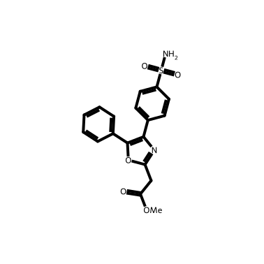 COC(=O)Cc1nc(-c2ccc(S(N)(=O)=O)cc2)c(-c2ccccc2)o1